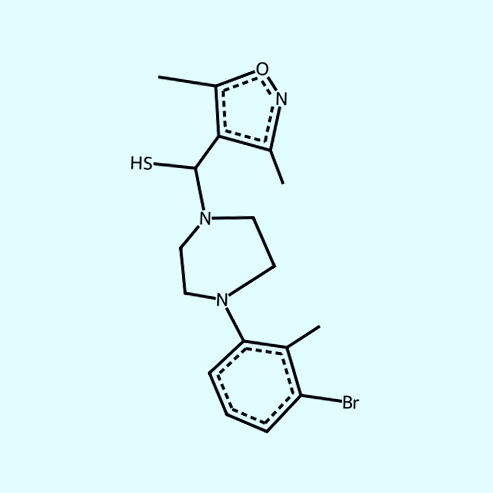 Cc1noc(C)c1C(S)N1CCN(c2cccc(Br)c2C)CC1